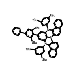 CC(C)(C)c1cc(N2c3cc(-c4c(C(C)(C)C)cc(-c5ccccc5)cc4C(C)(C)C)cc4c3B(c3ccc5ccccc5c32)c2ccc3ccccc3c2N4c2cc(C(C)(C)C)cc(C(C)(C)C)c2)cc(C(C)(C)C)c1